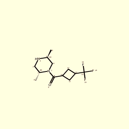 C[C@@H]1CN[C@@H](C)CN1C(=O)C1CC(C(F)(F)F)C1